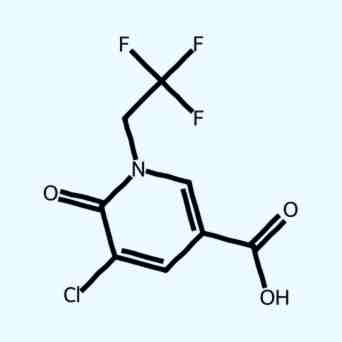 O=C(O)c1cc(Cl)c(=O)n(CC(F)(F)F)c1